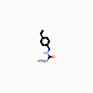 C=Cc1ccc(CNC(=O)CCCCCCC)cc1